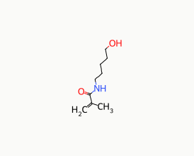 C=C(C)C(=O)NCCCCCO